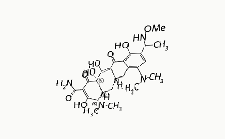 CONC(C)c1cc(N(C)C)c2c(c1O)C(=O)C1=C(O)[C@]3(O)C(=O)C(C(N)=O)=C(O)[C@@H](N(C)C)[C@@H]3C[C@@H]1C2